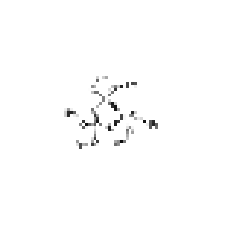 CC(C)OP1(OC(C)C)=NP(OC(C)C)(OC(C)C)=NP(OC(C)C)(OC(C)C)=N1